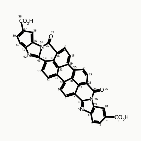 O=C(O)c1ccc2nc3c4ccc5c6ccc7c8c(ccc(c9ccc(c(=O)n3c2c1)c4c95)c68)c(=O)n1c2cc(C(=O)O)ccc2nc71